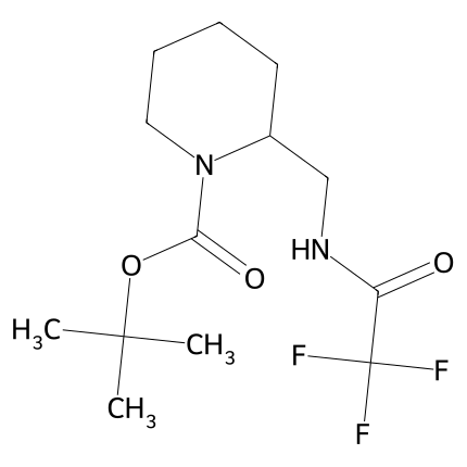 CC(C)(C)OC(=O)N1CCCCC1CNC(=O)C(F)(F)F